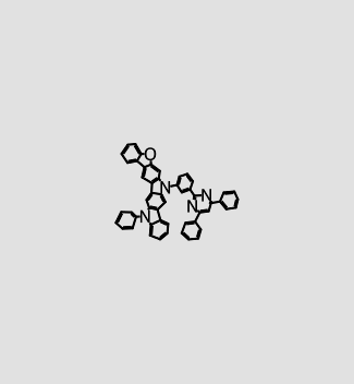 c1ccc(-c2cc(-c3ccccc3)nc(-c3cccc(-n4c5cc6oc7ccccc7c6cc5c5cc6c(cc54)c4ccccc4n6-c4ccccc4)c3)n2)cc1